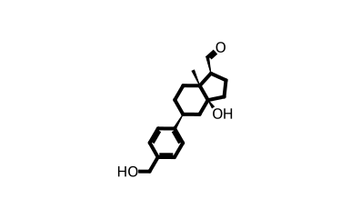 C[C@]12CC[C@H](c3ccc(CO)cc3)C[C@@]1(O)CC[C@@H]2C=O